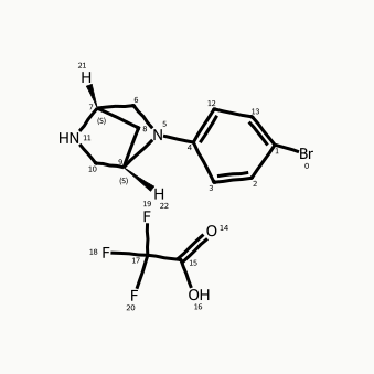 Brc1ccc(N2C[C@@H]3C[C@H]2CN3)cc1.O=C(O)C(F)(F)F